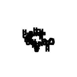 CC(C)C[C@@H]1NC(=O)CNC2(CNC(=O)[C@H](Cc3c[nH]c4ccccc34)NC(=O)[C@H](C)NC1=O)COC2